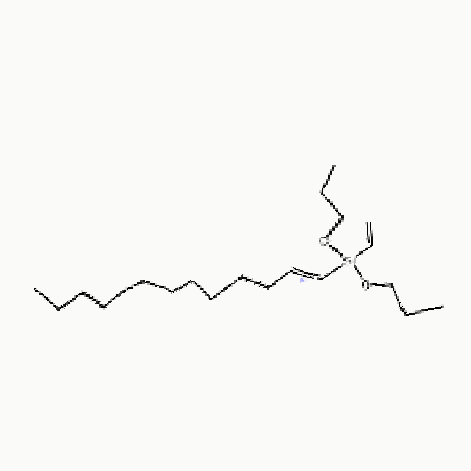 C=C[Si](/C=C/CCCCCCCCCC)(OCCC)OCCC